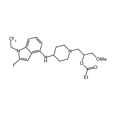 CCC(=O)OC(COC)CN1CCC(Nc2cccc3c2cc(I)n3CC(F)(F)F)CC1